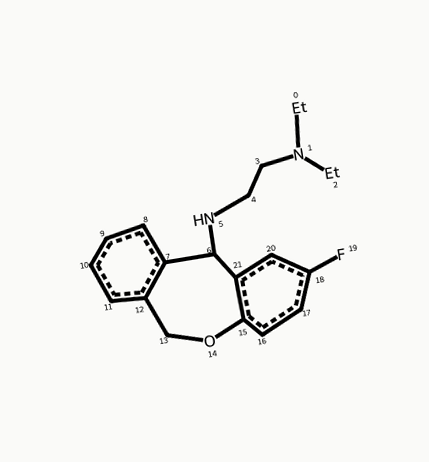 CCN(CC)CCNC1c2ccccc2COc2ccc(F)cc21